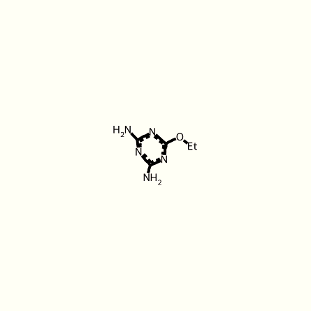 CCOc1nc(N)nc(N)n1